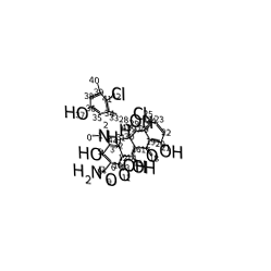 CN(C)[C@@H]1C(O)=C(C(N)=O)C(=O)[C@@]2(O)C(O)=C3C(=O)c4c(O)ccc(Cl)c4[C@@](C)(O)[C@H]3C[C@@H]12.Cc1cc(O)cc(C)c1Cl